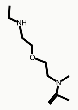 C=C(C)N(C)CCOCCNCC